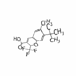 CC(C)(C)c1cc2c(cc1Cl)C=C(C(=O)O)C(C(F)(F)F)O2